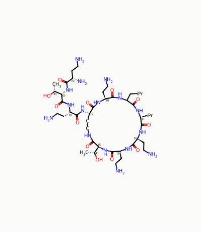 CC(C)CC1NC(=O)[C@H](CCN)NC(=O)[C@@H](NC(=O)[C@H](CCN)NC(=O)[C@@H](NC(=O)[C@@H](N)CCN)[C@@H](C)O)CCNC(=O)[C@H]([C@@H](C)O)NC(=O)[C@H](CCN)NC(=O)[C@H](CCN)NC(=O)[C@H](C(C)C)NC1=O